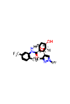 CC(C)n1cc([C@H]2[C@H]3O[C@H](C[C@@H]3O)[C@@H]2C(=O)Nc2cc(C(F)(F)F)ccc2C#N)c(C(F)(F)F)n1